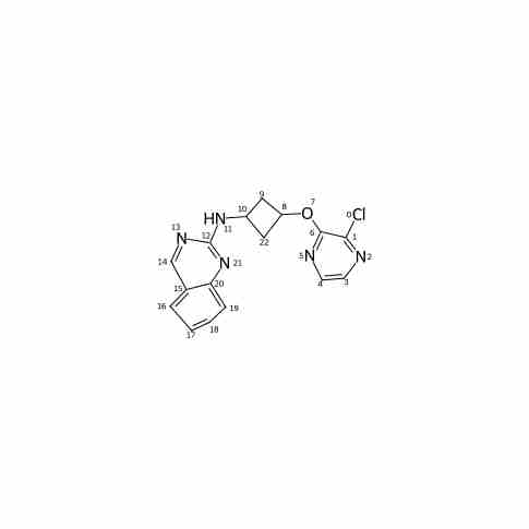 Clc1nccnc1OC1CC(Nc2ncc3ccccc3n2)C1